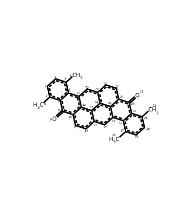 Cc1ccc(C)c2c1c(=O)c1ccc3cc4c5c(C)ccc(C)c5c(=O)c5ccc6cc2c1c3c6c54